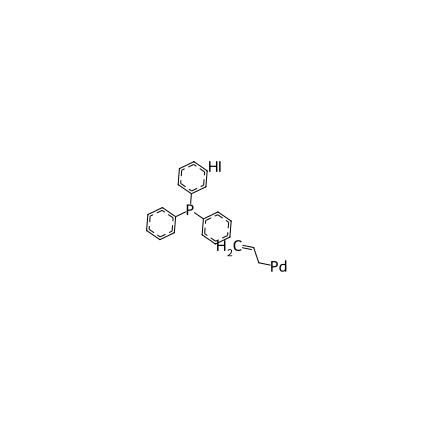 C=C[CH2][Pd].I.c1ccc(P(c2ccccc2)c2ccccc2)cc1